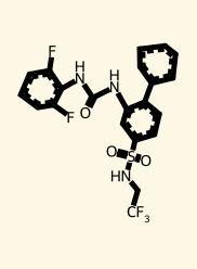 O=C(Nc1cc(S(=O)(=O)NCC(F)(F)F)ccc1-c1ccccc1)Nc1c(F)cccc1F